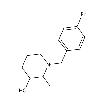 OC1CCCN(Cc2ccc(Br)cc2)C1I